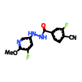 COc1ncc(NNC(=O)c2ccc(C#N)c(F)c2)cc1F